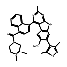 COc1cc2c(cc1-c1c(C)noc1C)[nH]c1nc(C)nc(-c3ccc(C(=O)N4CCN(C)[C@H](C)C4)c4ccccc34)c12